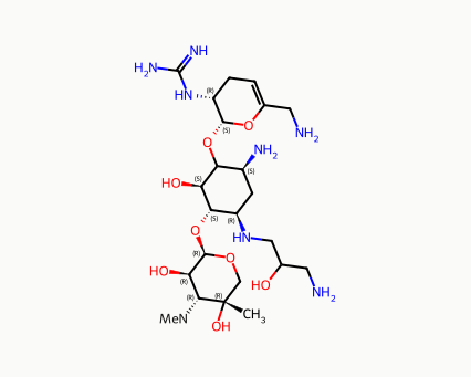 CN[C@@H]1[C@@H](O)[C@@H](O[C@H]2[C@H](NCC(O)CN)C[C@H](N)C(O[C@H]3OC(CN)=CC[C@H]3NC(=N)N)[C@@H]2O)OC[C@]1(C)O